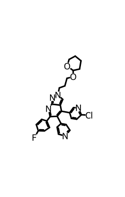 Fc1ccc(-c2nc3nn(CCCOC4CCCCO4)cc3c(-c3ccc(Cl)nc3)c2-c2ccncc2)cc1